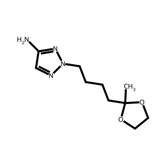 CC1(CCCCn2ncc(N)n2)OCCO1